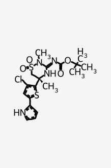 CN1/C(=N/C(=O)OC(C)(C)C)N[C@](C)(c2sc(-c3ccc[nH]3)cc2Cl)CS1(=O)=O